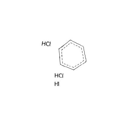 Cl.Cl.I.c1ccccc1